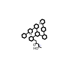 C/C(O)=C/C(=O)Cc1ccccc1-c1cc(-c2ccccc2-c2ccc(-c3ccccn3)cc2)cc(-c2ccccc2-c2ccc(-c3ccccc3)nc2)c1